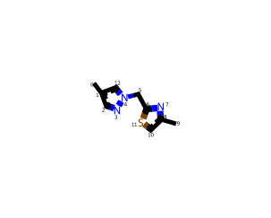 Cc1cnn(Cc2nc(C)cs2)c1